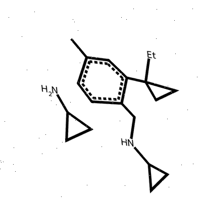 CCC1(c2cc(C)ccc2CNC2CC2)CC1.NC1CC1